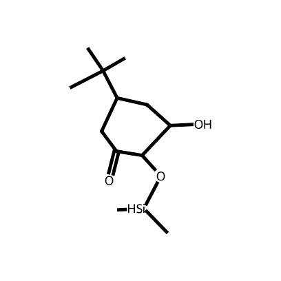 C[SiH](C)OC1C(=O)CC(C(C)(C)C)CC1O